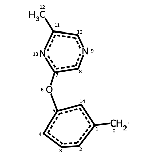 [CH2]c1cccc(Oc2cncc(C)n2)c1